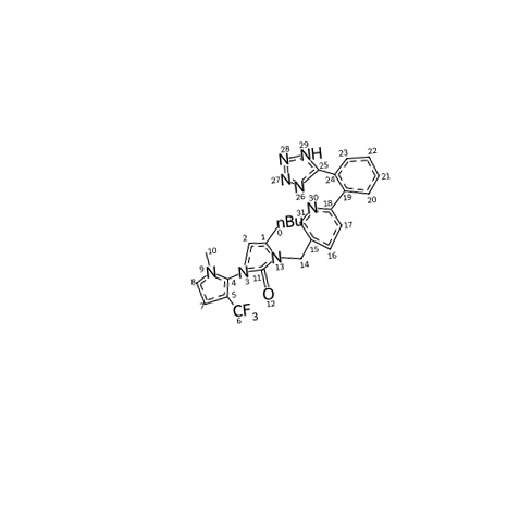 CCCCc1cn(-c2c(C(F)(F)F)ccn2C)c(=O)n1Cc1ccc(-c2ccccc2-c2nnn[nH]2)nc1